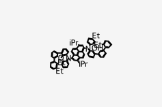 CCc1ccc(N(c2cccc(-c3cccc(-c4ccccc4CC)c3)c2O)c2cc(C(C)C)c3ccc4c(N(c5ccc(CC)cc5)c5cccc6c5oc5c(-c7ccccc7CC)cccc56)cc(C(C)C)c5ccc2c3c54)cc1